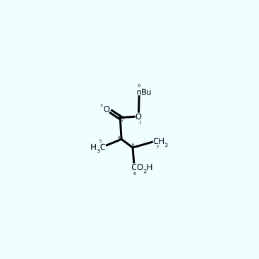 CCCCOC(=O)C(C)C(C)C(=O)O